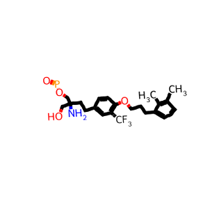 Cc1cccc(CCCOc2ccc(CCC(N)(CO)COP=O)cc2C(F)(F)F)c1C